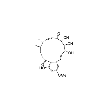 COc1cc(O)c2c(c1)/C=C/C(O)[C@H](O)C(O)C(=O)/C=C\[C@@H](C)[C@H](C)CCC2=O